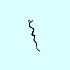 CCCCCC=CCO